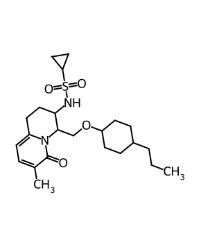 CCCC1CCC(OCC2C(NS(=O)(=O)C3CC3)CCc3ccc(C)c(=O)n32)CC1